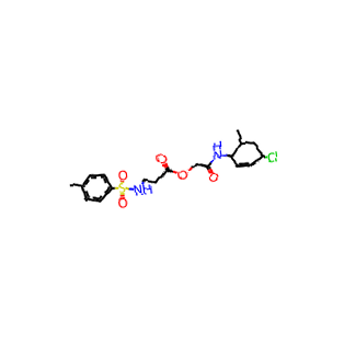 Cc1ccc(S(=O)(=O)NCCC(=O)OCC(=O)NC2C=CC(Cl)CC2C)cc1